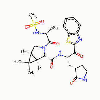 CC(C)(C)[C@H](NS(C)(=O)=O)C(=O)N1C[C@H]2[C@@H]([C@H]1C(=O)N[C@@H](C[C@@H]1CCNC1=O)C(=O)c1nc3ccccc3s1)C2(C)C